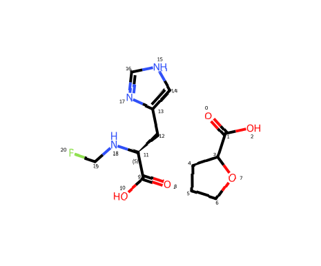 O=C(O)C1CCCO1.O=C(O)[C@H](Cc1c[nH]cn1)NCF